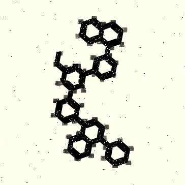 CCc1nc(-c2cccc(-c3cccc4ccccc34)c2)nc(-c2cccc(-c3ccc(-c4ccccc4)c4ccccc34)c2)n1